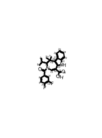 CC(C)C1N(C(=O)c2ccc(F)c(F)c2)C=C(C(=O)O)c2[nH]c3ccccc3c2C1(C)C